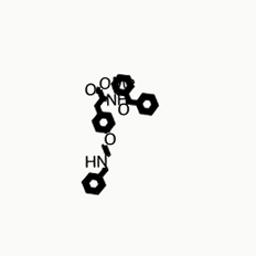 COC(=O)C(Cc1ccc(OCCNCc2ccccc2)cc1)Nc1ccccc1C(=O)c1ccccc1